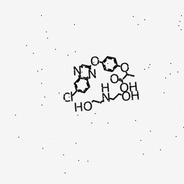 CC(Oc1ccc(Oc2cnc3cc(Cl)ccc3n2)cc1)C(=O)O.OCCNCCO